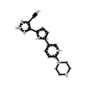 N#Cc1n[nH]nc1-c1ccc(-c2ccc(N3CCOCC3)nc2)s1